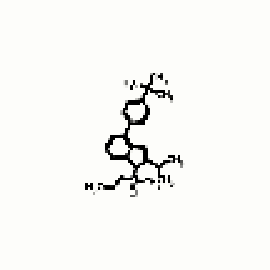 CCC[Si](C)(Cl)C1C(C(C)C)=Cc2c(-c3ccc(C(C)(C)C)cc3)cccc21